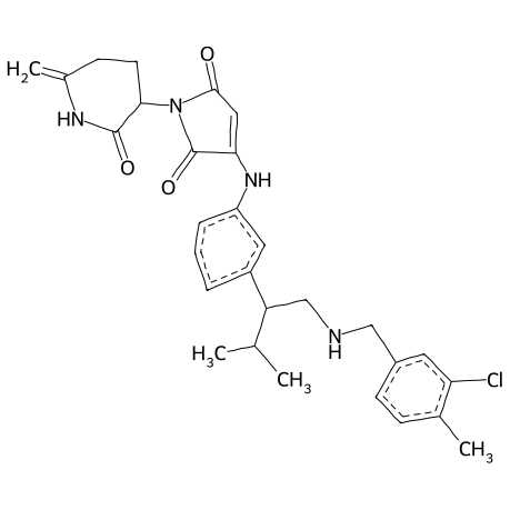 C=C1CCC(N2C(=O)C=C(Nc3cccc(C(CNCc4ccc(C)c(Cl)c4)C(C)C)c3)C2=O)C(=O)N1